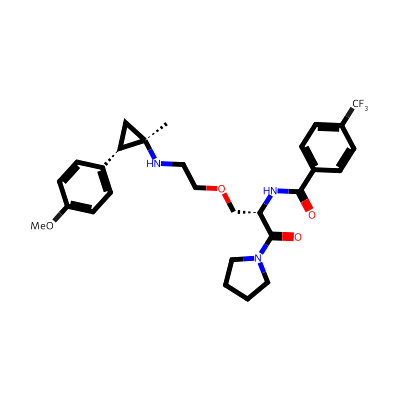 COc1ccc([C@@H]2C[C@@]2(C)NCCOC[C@H](NC(=O)c2ccc(C(F)(F)F)cc2)C(=O)N2CCCC2)cc1